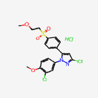 COCCS(=O)(=O)c1ccc(-c2cc(Cl)nn2-c2ccc(OC)c(Cl)c2)cc1.Cl